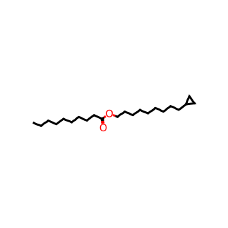 CCCCCCCCCC(=O)OCCCCCCCCCC1CC1